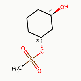 CS(=O)(=O)O[C@@H]1CCC[C@@H](O)C1